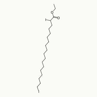 CCOC(=O)C(I)CCCCCCCCCCCCCCCCI